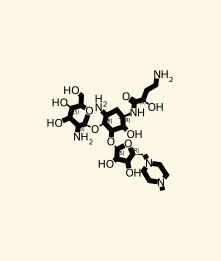 CN1CCN(C[C@H]2O[C@@H](OC3C(O)[C@H](NC(=O)[C@@H](O)CCN)CC(N)[C@H]3O[C@H]3OC(CO)[C@@H](O)C(O)C3N)C(O)C2O)CC1